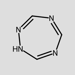 C1=NC=NNC=N1